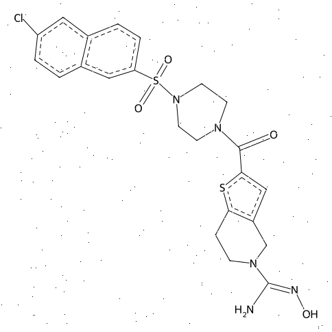 NC(=NO)N1CCc2sc(C(=O)N3CCN(S(=O)(=O)c4ccc5cc(Cl)ccc5c4)CC3)cc2C1